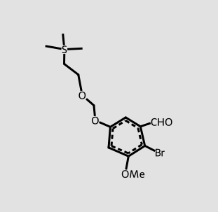 COc1cc(OCOCCS(C)(C)C)cc(C=O)c1Br